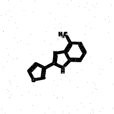 Cc1cccc2[nH]c(-c3[c]occ3)nc12